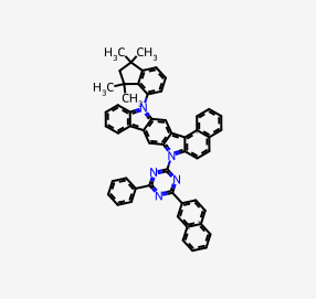 CC1(C)CC(C)(C)c2c(-n3c4ccccc4c4cc5c(cc43)c3c4ccccc4ccc3n5-c3nc(-c4ccccc4)nc(-c4ccc5ccccc5c4)n3)cccc21